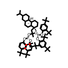 CC(C)C1CC[C@@H]2C(CCC3[C@@](C)(CC(C)(OP(Oc4ccc(C(C)(C)C)cc4C(C)(C)C)Oc4ccc(C(C)(C)C)cc4C(C)(C)C)OP(Oc4ccc(C(C)(C)C)cc4C(C)(C)C)Oc4ccc(C(C)(C)C)cc4C(C)(C)C)CCC[C@@]32C)C1